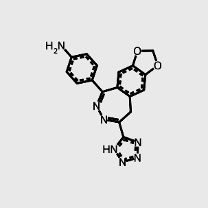 Nc1ccc(C2=NN=C(c3nnn[nH]3)Cc3cc4c(cc32)OCO4)cc1